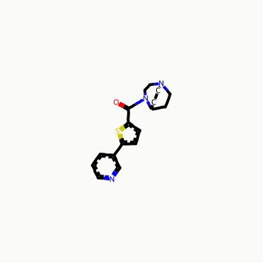 O=C(c1ccc(-c2cccnc2)s1)N1CCN2CCC1CC2